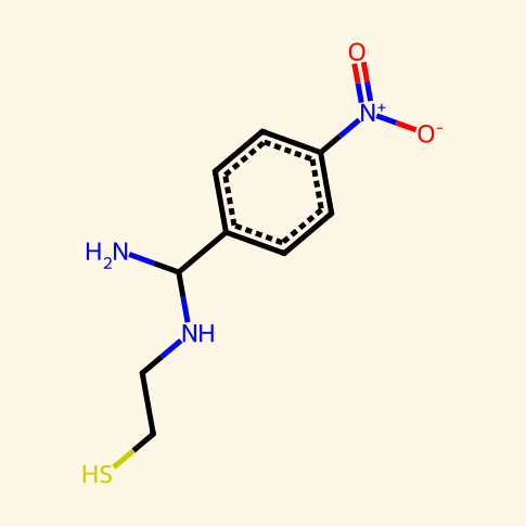 NC(NCCS)c1ccc([N+](=O)[O-])cc1